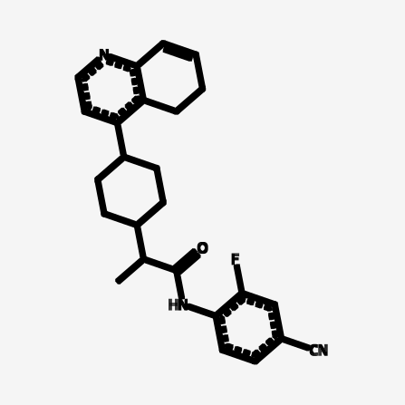 CC(C(=O)Nc1ccc(C#N)cc1F)C1CCC(c2ccnc3c2CCC=C3)CC1